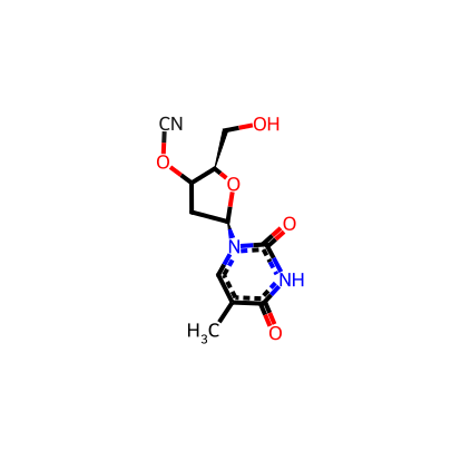 Cc1cn([C@H]2CC(OC#N)[C@@H](CO)O2)c(=O)[nH]c1=O